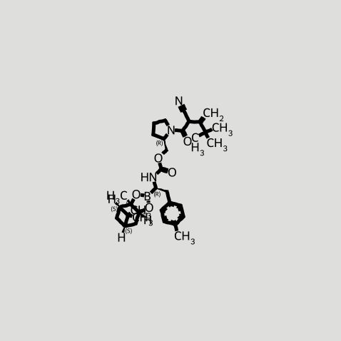 C=C(C(C#N)C(=O)N1CCC[C@@H]1COC(=O)N[C@@H](Cc1ccc(C)cc1)B1O[C@@H]2C[C@@H]3C[C@@H](C3(C)C)[C@]2(C)O1)C(C)(C)C